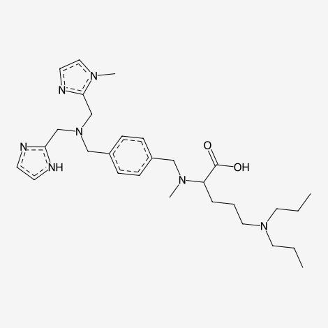 CCCN(CCC)CCCC(C(=O)O)N(C)Cc1ccc(CN(Cc2ncc[nH]2)Cc2nccn2C)cc1